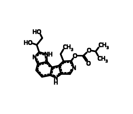 CCc1c(OC(=O)OC(C)C)ncc2[nH]c3ccc4nc(C(O)CO)[nH]c4c3c12